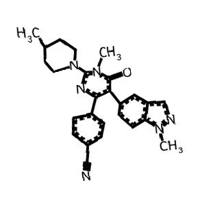 CC1CCN(c2nc(-c3ccc(C#N)cc3)c(-c3ccc4c(cnn4C)c3)c(=O)n2C)CC1